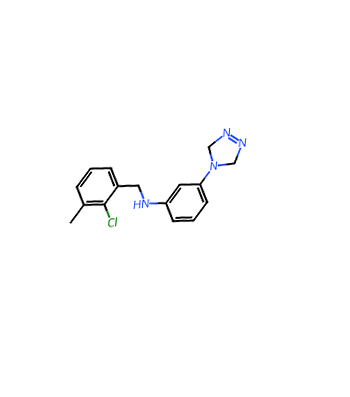 Cc1cccc(CNc2cccc(N3CN=NC3)c2)c1Cl